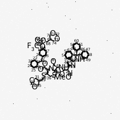 CO/N=C(\C(=O)NC1C(=O)N2C(C(=O)OC(c3ccccc3)c3ccccc3)=C(SCC3COCOC3)CS[C@@H]12)c1csc(NC(c2ccccc2)(c2ccccc2)c2ccccc2)n1.O=S(=O)(OCC1COCOC1)C(F)(F)F